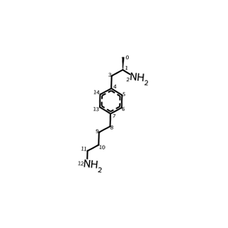 C[C@@H](N)Cc1ccc(CCCCN)cc1